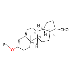 CCOC1=CC2=CC[C@@H]3[C@H](CC[C@]4(C)C(C=O)CC[C@@H]34)[C@@]2(C)CC1